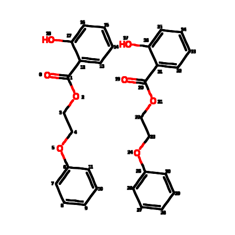 O=C(OCCOc1ccccc1)c1ccccc1O.O=C(OCCOc1ccccc1)c1ccccc1O